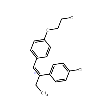 CC/C(=C/c1ccc(OCCCl)cc1)c1ccc(Cl)cc1